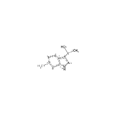 [CH2]c1ccc2c(C(C)O)n[nH]c2c1